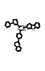 C1=CC(C2=NC(c3ccc(C4=Cc5ccccc5CC4)cc3)NC(c3ccc4c(c3)sc3ccccc34)N2)=CC(c2ccccc2)C1